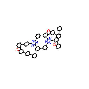 c1ccc(-c2ccc(-c3ccc4oc5cccc(-c6ccc(-c7nc(-c8ccccc8)nc(-c8cccc(-c9cccc(-c%10nc(-c%11cccc%12c%11oc%11ccccc%11%12)nc(-c%11cccc%12oc%13ccc(-c%14ccccc%14-c%14ccccc%14)cc%13c%11%12)n%10)c9)c8)n7)cc6)c5c4c3)cc2)cc1